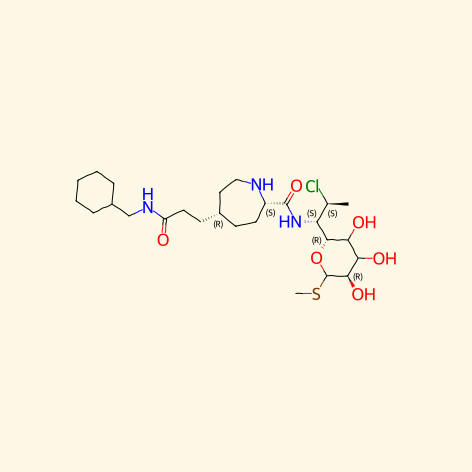 CSC1O[C@H]([C@H](NC(=O)[C@@H]2CC[C@H](CCC(=O)NCC3CCCCC3)CCN2)[C@H](C)Cl)C(O)C(O)[C@H]1O